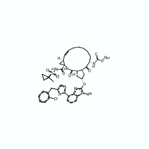 CC(C)n1c(O[C@@H]2C[C@H]3C(=O)N[C@]4(C(=O)NS(=O)(=O)C5(C)CC5)C[C@H]4/C=C\CCCCC[C@H](NC(=O)OC(C)(C)C)C(=O)N3C2)nc2c(-c3nc(Cc4ccccc4Cl)cs3)cccc21